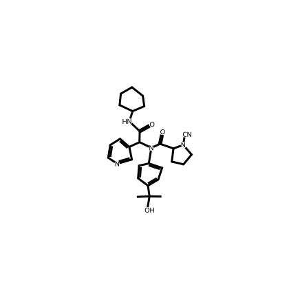 CC(C)(O)c1ccc(N(C(=O)C2CCCN2C#N)C(C(=O)NC2CCCCC2)c2cccnc2)cc1